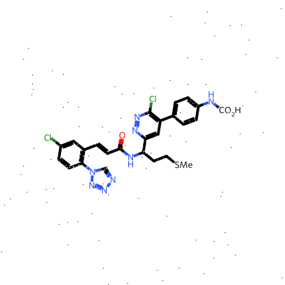 CSCCC(NC(=O)C=Cc1cc(Cl)ccc1-n1cnnn1)c1cc(-c2ccc(NC(=O)O)cc2)c(Cl)nn1